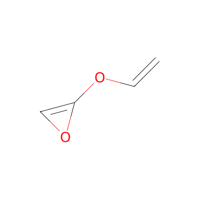 C=COC1=CO1